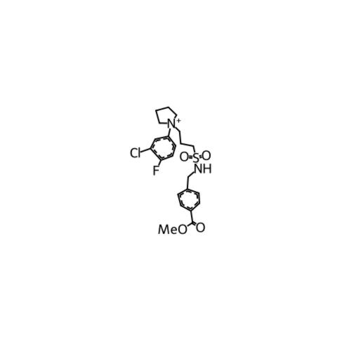 COC(=O)c1ccc(CNS(=O)(=O)CCC[N+]2(c3ccc(F)c(Cl)c3)CCCC2)cc1